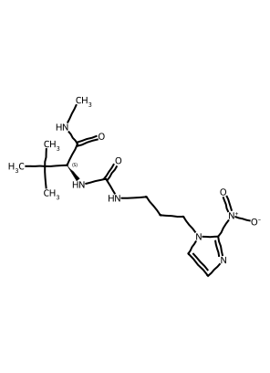 CNC(=O)[C@@H](NC(=O)NCCCn1ccnc1[N+](=O)[O-])C(C)(C)C